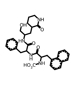 O=C(O)NC(Cc1cccc2ccccc12)C(=O)NC(Cc1ccccc1)C(=O)NC(CO)CC1CCCNC1=O